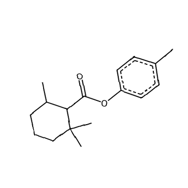 Cc1ccc(OC(=O)C2C(C)CCCC2(C)C)cc1